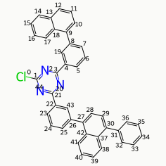 Clc1nc(-c2cccc(-c3cccc4ccccc34)c2)nc(-c2cccc(-c3ccc(-c4ccccc4)c4ccccc34)c2)n1